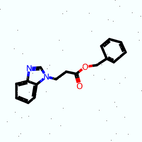 O=C(CCn1cnc2ccccc21)OCc1ccccc1